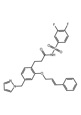 O=C(CCc1ccc(Cn2cccn2)cc1OC/C=C/c1ccccc1)NS(=O)(=O)c1ccc(F)c(F)c1